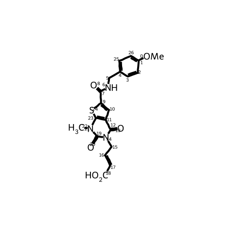 COc1ccc(CNC(=O)c2cc3c(=O)n(C/C=C/C(=O)O)c(=O)n(C)c3s2)cc1